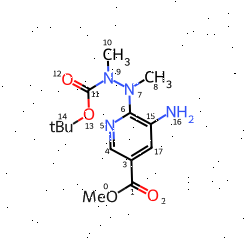 COC(=O)c1cnc(N(C)N(C)C(=O)OC(C)(C)C)c(N)c1